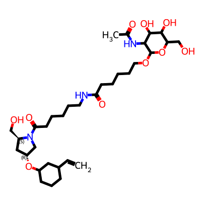 C=CC1CCCC(O[C@@H]2C[C@@H](CO)N(C(=O)CCCCCNC(=O)CCCCCOC3OC(CO)C(O)C(O)C3NC(C)=O)C2)C1